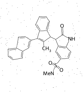 CNS(=O)(=O)c1ccc2c(c1)C(C1C(C)=C(c3ccc4ccccc4c3)c3ccccc31)C(=O)N2